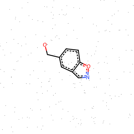 [O]Cc1ccc2oncc2c1